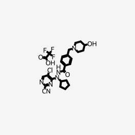 N#Cc1ncc(Cl)c(N(NC(=O)c2ccc(CN3CCC(O)CC3)cc2)C2CCCC2)n1.O=C(O)C(F)(F)F